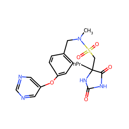 CCCC1(CS(=O)(=O)N(C)Cc2ccc(Oc3cncnc3)cc2)NC(=O)NC1=O